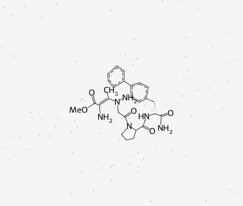 COC(=O)/C(N)=C(\C)N(N)CC(=O)N1CCCC1C(=O)N[C@H](Cc1ccc(-c2ccccc2)cc1)C(N)=O